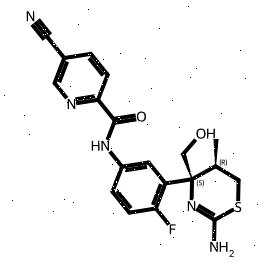 C[C@H]1CSC(N)=N[C@]1(CO)c1cc(NC(=O)c2ccc(C#N)cn2)ccc1F